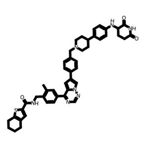 Cc1cc(-c2ncnn3cc(-c4ccc(CN5CCC(c6ccc(NC7CCC(=O)NC7=O)cc6)CC5)cc4)cc23)ccc1CNC(=O)c1cc2c(s1)CCCC2